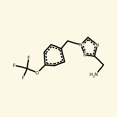 NCc1ncn(Cc2ccc(OC(F)(F)F)cc2)n1